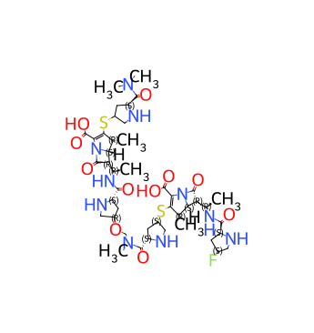 C[C@@H](NC(=O)[C@@H]1C[C@@H](OCN(C)C(=O)[C@@H]2C[C@H](SC3=C(C(=O)O)N4C(=O)[C@H]([C@@H](C)NC(=O)[C@@H]5C[C@H](F)CN5)[C@H]4[C@H]3C)CN2)CN1)[C@H]1C(=O)N2C(C(=O)O)=C(SC3CN[C@H](C(=O)N(C)C)C3)[C@H](C)[C@H]12